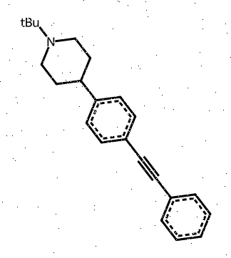 CC(C)(C)N1CCC(c2ccc(C#Cc3ccccc3)cc2)CC1